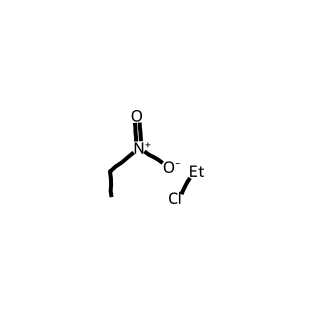 CCCl.CC[N+](=O)[O-]